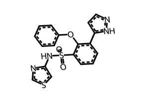 O=S(=O)(Nc1cscn1)c1cccc(-c2ccn[nH]2)c1Oc1ccccc1